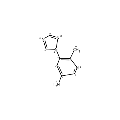 Cc1ncc(N)cc1-n1cncn1